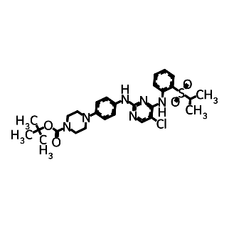 CC(C)S(=O)(=O)c1ccccc1Nc1nc(Nc2ccc(N3CCN(C(=O)OC(C)(C)C)CC3)cc2)ncc1Cl